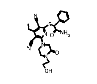 CCc1c(C#N)c(SC(C(N)=O)c2ccccc2)nc(N2CCN(CCO)C(=O)C2)c1C#N